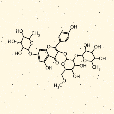 COCC1OC(Oc2c(-c3ccc(O)cc3)oc3cc(OC4OC(C)C(O)C(O)C4O)cc(O)c3c2=O)C(OC2OC(C)C(O)C(O)C2O)C(O)C1O